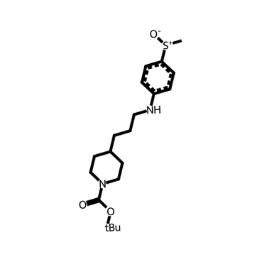 C[S+]([O-])c1ccc(NCCCC2CCN(C(=O)OC(C)(C)C)CC2)cc1